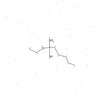 CCCCCC([SiH3])(S)OCC